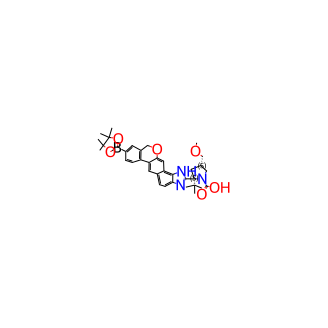 COC[C@@H]1CN(C(=O)O)[C@](c2nc3ccc4cc5c(cc4c3[nH]2)OCc2cc(B3OC(C)(C)C(C)(C)O3)ccc2-5)(C(C)(C)C)C1